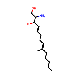 CCCCC/C(C)=C/CC/C=C/C(O)C(N)CO